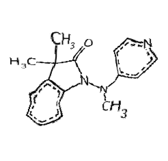 CN(c1ccncc1)N1C(=O)C(C)(C)c2ccccc21